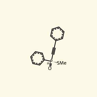 CS[P@@](=O)(C#Cc1ccccc1)c1ccccc1